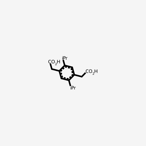 CC(C)c1cc(CC(=O)O)c(C(C)C)cc1CC(=O)O